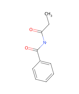 CCC(=O)[N]C(=O)c1ccccc1